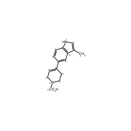 Cc1c[nH]c2ccc(C3=CCN(C(=O)O)CC3)cc12